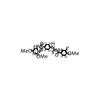 COc1cc(NS(=O)(=O)c2ccc(NC(=S)NC(=O)c3ccc(OC)c(I)c3)cc2)nc(OC)n1